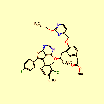 CCOC(=O)[C@@H](Cc1cc(CC(=O)OC(C)(C)C)ccc1OCc1ccnc(OCCC(F)(F)F)n1)Oc1ncnc2sc(-c3ccc(F)cc3)c(-c3ccc(C=O)c(Cl)c3C)c12